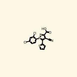 N#Cc1c(C(=O)O)nn(-c2ccc(Cl)cc2Cl)c1-c1cccs1